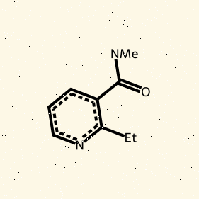 CCc1ncccc1C(=O)NC